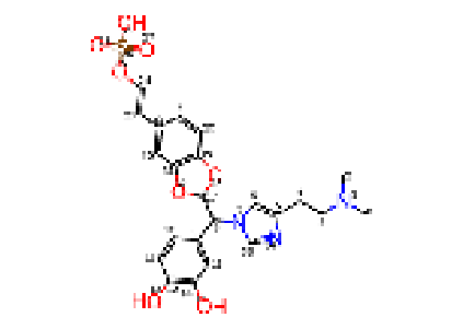 CN(C)CCc1cn(C(c2ccc(O)c(O)c2)C2Oc3ccc(C=COS(=O)(=O)O)cc3O2)cn1